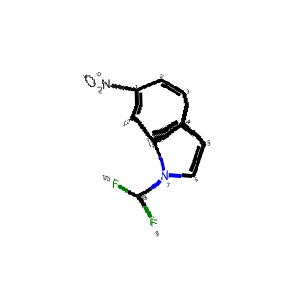 O=[N+]([O-])c1ccc2ccn(C(F)F)c2c1